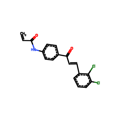 C=CC(=O)Nc1ccc(C(=O)C=Cc2cccc(Cl)c2Cl)cc1